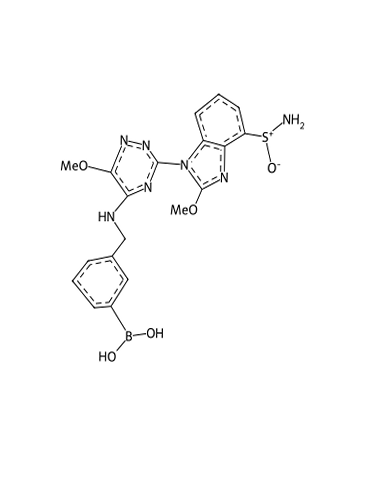 COc1nnc(-n2c(OC)nc3c([S+](N)[O-])cccc32)nc1NCc1cccc(B(O)O)c1